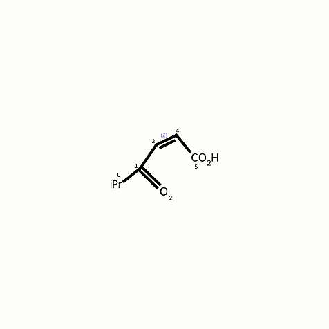 CC(C)C(=O)/C=C\C(=O)O